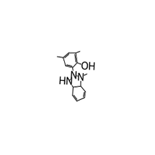 Cc1cc(C)c(O)c(N2NC3C=CC=CC3N2C)c1